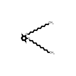 CCCCCCCCCCCCOc1c(I)ccc(I)c1OCCCCCCCCCCCC